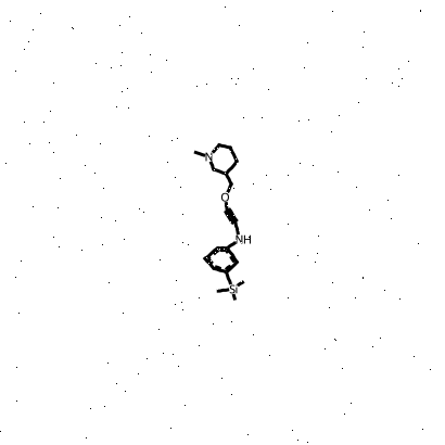 CN1CCCC(COC#CNc2cccc([Si](C)(C)C)c2)C1